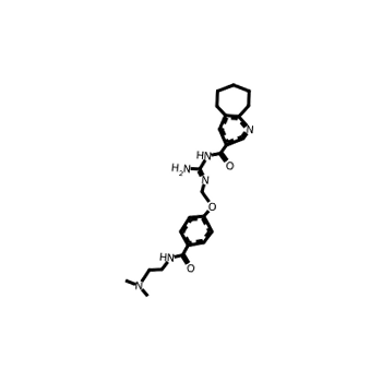 CN(C)CCNC(=O)c1ccc(OCN=C(N)NC(=O)c2cnc3c(c2)CCCCC3)cc1